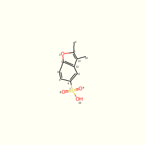 Cc1oc2ccc(S(=O)(=O)O)cc2c1C